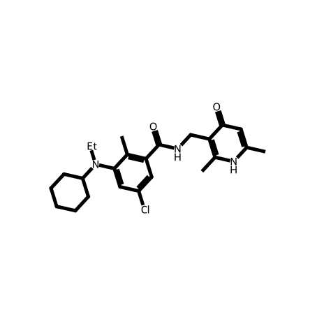 CCN(c1cc(Cl)cc(C(=O)NCc2c(C)[nH]c(C)cc2=O)c1C)C1CCCCC1